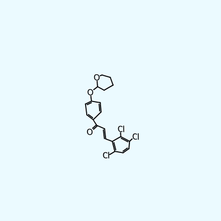 O=C(C=Cc1c(Cl)ccc(Cl)c1Cl)c1ccc(OC2CCCCO2)cc1